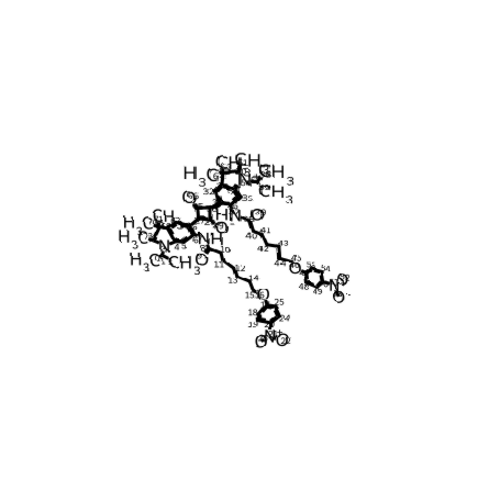 CC(C)N1c2cc(NC(=O)CCCCCCOc3ccc([N+](=O)[O-])cc3)c(C3=C([O-])/C(=c4/cc5c(cc4NC(=O)CCCCCCOc4ccc([N+](=O)[O-])cc4)=[N+](C(C)C)C(C)C5(C)C)C3=O)cc2C(C)(C)C1C